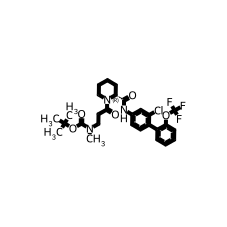 CN(CCC(=O)N1CCCC[C@@H]1C(=O)Nc1ccc(-c2ccccc2OC(F)(F)F)c(Cl)c1)C(=O)OC(C)(C)C